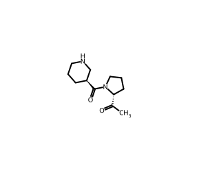 CC(=O)[C@H]1CCCN1C(=O)[C@H]1CCCNC1